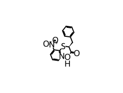 O=C(O)[C@H](Cc1ccccc1)Sc1ncccc1[N+](=O)[O-]